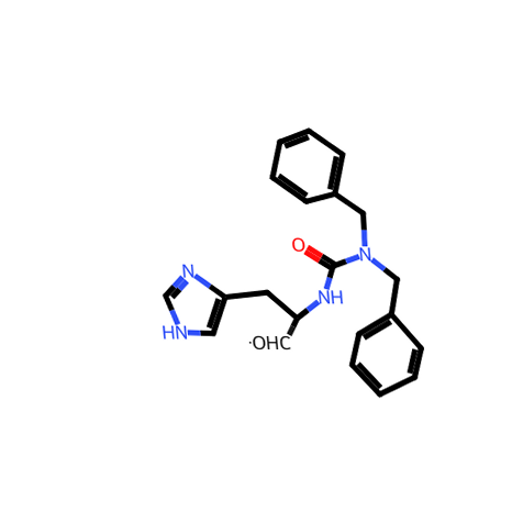 O=[C]C(Cc1c[nH]cn1)NC(=O)N(Cc1ccccc1)Cc1ccccc1